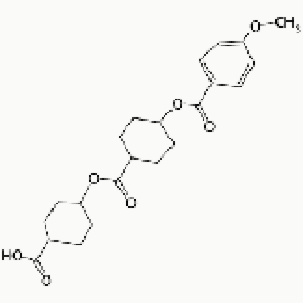 COc1ccc(C(=O)OC2CCC(C(=O)OC3CCC(C(=O)O)CC3)CC2)cc1